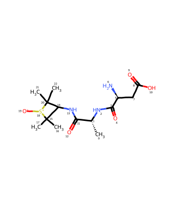 C[C@@H](NC(=O)[C@@H](N)CC(=O)O)C(=O)NC1C(C)(C)[S+]([O-])C1(C)C